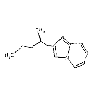 CCCC(C)c1cn2ccccc2n1